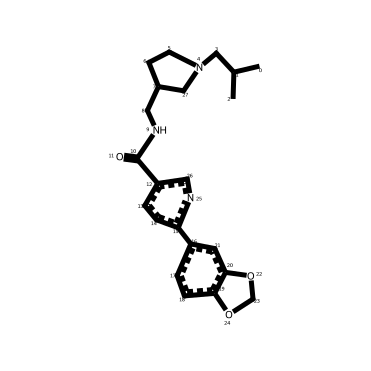 CC(C)CN1CCC(CNC(=O)c2ccc(-c3ccc4c(c3)OCO4)nc2)C1